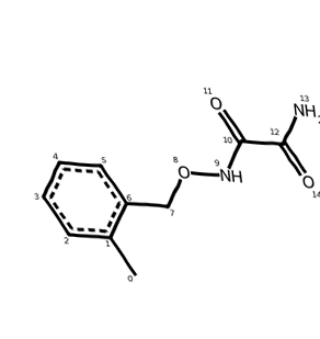 Cc1ccccc1CONC(=O)C(N)=O